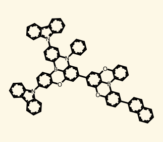 c1ccc(N2c3cc(-n4c5ccccc5c5ccccc54)ccc3B3c4ccc(-n5c6ccccc6c6ccccc65)cc4Oc4cc(-c5cc6c7c(c5)Oc5ccc(-c8ccc9ccccc9c8)cc5B7c5ccccc5O6)cc2c43)cc1